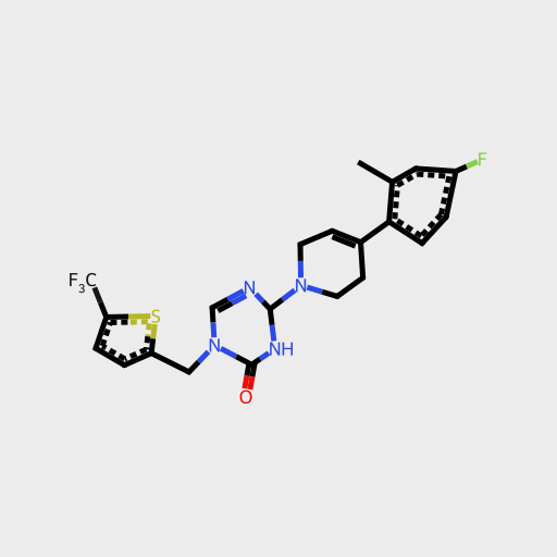 Cc1cc(F)ccc1C1=CCN(C2N=CN(Cc3ccc(C(F)(F)F)s3)C(=O)N2)CC1